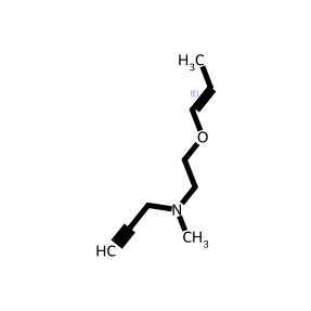 C#CCN(C)CCO/C=C/C